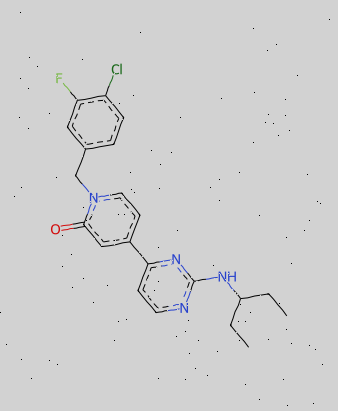 CCC(CC)Nc1nccc(-c2ccn(Cc3ccc(Cl)c(F)c3)c(=O)c2)n1